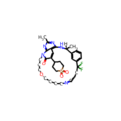 Cc1nc2c3cc(C4CCS(=O)(=O)CC4)c(=O)n(c3n1)CCCOCCCCN1CC(C1)CC(F)(F)c1cccc(c1)[C@@H](C)N2